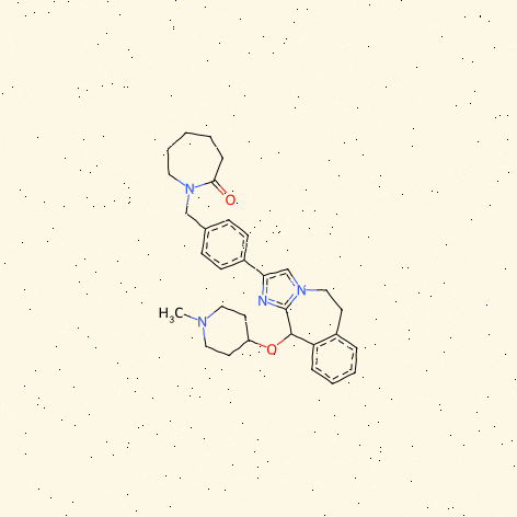 CN1CCC(OC2c3ccccc3CCn3cc(-c4ccc(CN5CCCCCC5=O)cc4)nc32)CC1